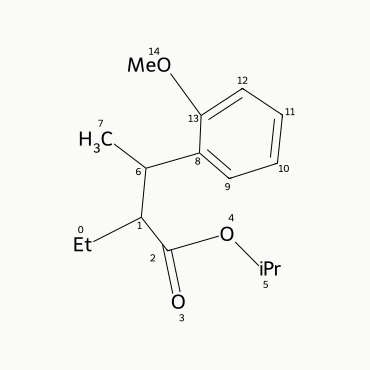 CCC(C(=O)OC(C)C)C(C)c1ccccc1OC